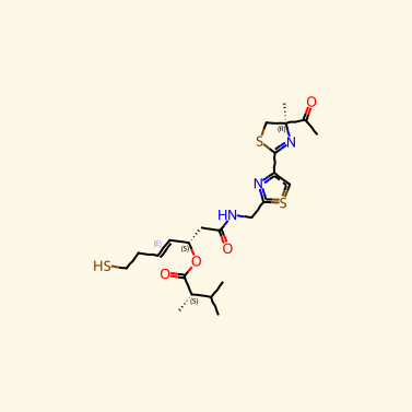 CC(=O)[C@]1(C)CSC(c2csc(CNC(=O)C[C@@H](/C=C/CCS)OC(=O)[C@@H](C)C(C)C)n2)=N1